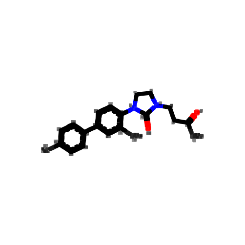 COC(=O)CCN1CCN(c2ccc(-c3ccc(C#N)cc3)cc2SC)C1=O